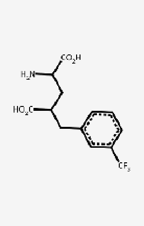 NC(CC(Cc1cccc(C(F)(F)F)c1)C(=O)O)C(=O)O